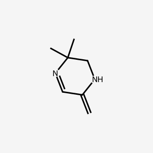 C=C1C=NC(C)(C)CN1